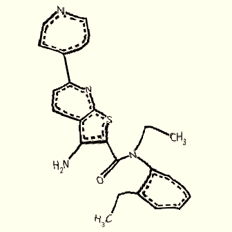 CCc1ccccc1N(CC)C(=O)c1sc2nc(-c3ccncc3)ccc2c1N